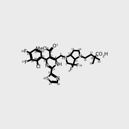 COC(=O)C1=C(CN2CC(F)(F)C3C2CCN3CCC(C)(C)C(=O)O)NC(c2nccs2)=NC1c1ccc(F)c(F)c1Cl